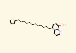 Oc1ccc(CCCCCCCCCCCCc2cccs2)c2cccnc12